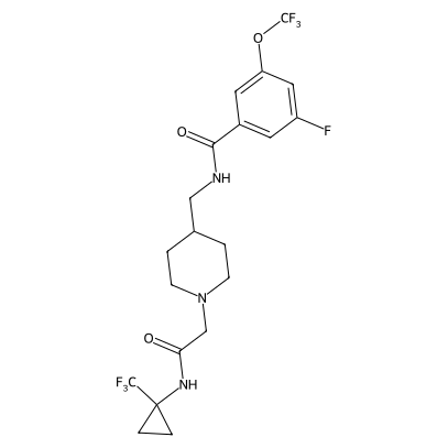 O=C(CN1CCC(CNC(=O)c2cc(F)cc(OC(F)(F)F)c2)CC1)NC1(C(F)(F)F)CC1